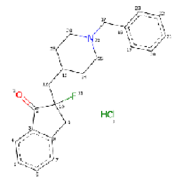 Cl.O=C1c2ccccc2CC1(F)CC1CCN(Cc2ccccc2)CC1